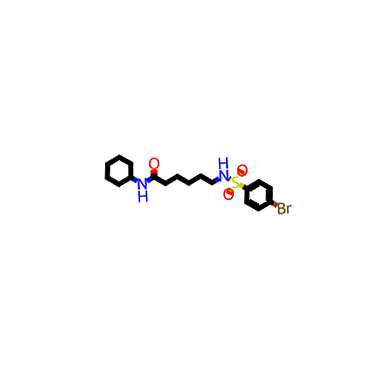 O=C(CCCCCNS(=O)(=O)c1ccc(Br)cc1)NC1CCCCC1